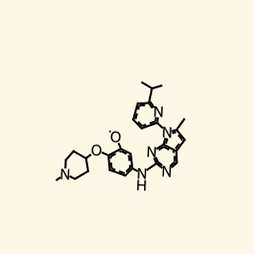 COc1cc(Nc2ncc3cc(C)n(-c4cccc(C(C)C)n4)c3n2)ccc1OC1CCN(C)CC1